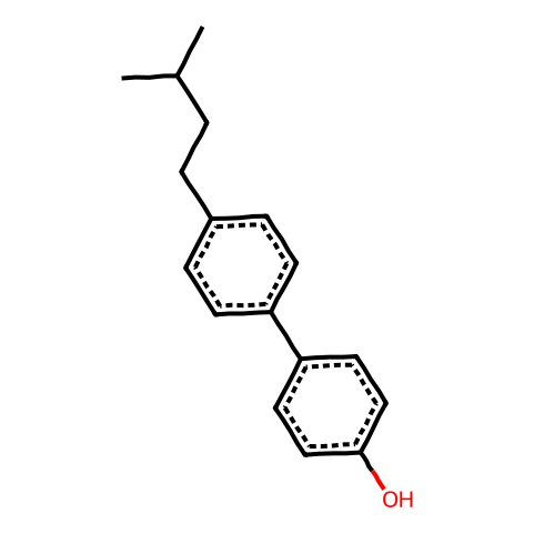 CC(C)CCc1ccc(-c2ccc(O)cc2)cc1